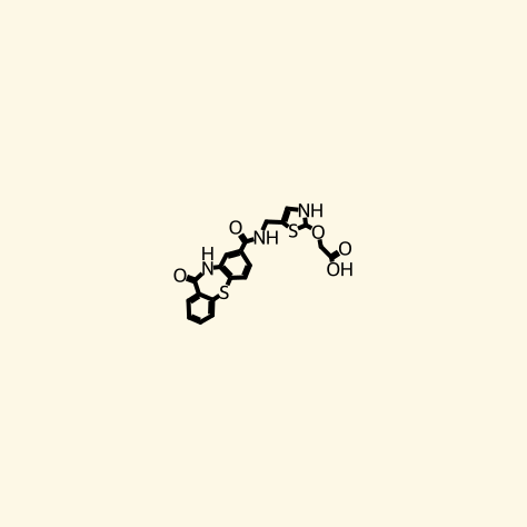 O=C(O)COC1NC=C(CNC(=O)c2ccc3c(c2)NC(=O)c2ccccc2S3)S1